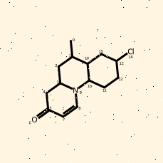 CC1CC2CC(=O)C=CN2C2CCC(Cl)CC12